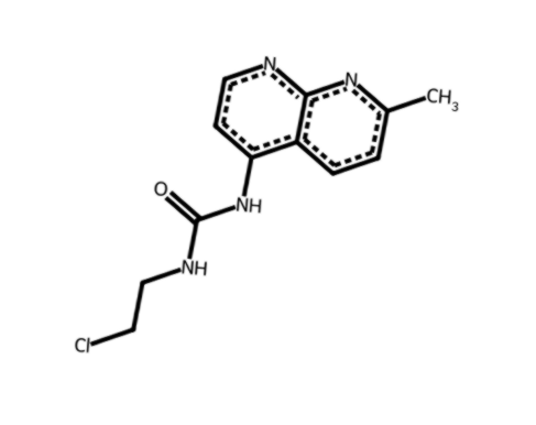 Cc1ccc2c(NC(=O)NCCCl)ccnc2n1